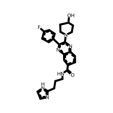 O=C(NCCCc1ncc[nH]1)c1ccc2nc(N3CCC(O)CC3)c(-c3ccc(F)cc3)nc2c1